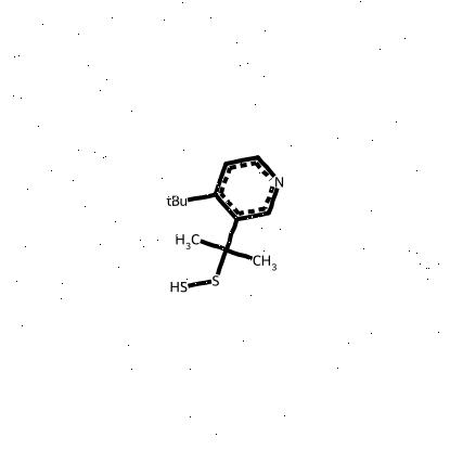 CC(C)(C)c1ccncc1C(C)(C)SS